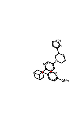 COc1ccc(CN2C3CC2CN(c2ccc(N4CCSC(c5cc[nH]n5)C4)cn2)C3)cn1